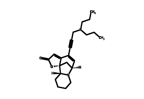 CCCN(CC#CC1=C[C@@H]2C[C@@]3(OC(=O)C=C13)[C@H]1CCCCN21)CCC